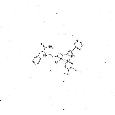 CC1(C)C(CCNC(Cc2ccccc2)C(N)=O)CC1c1cc(-c2cccnc2)nn1-c1ccc(Cl)c(Cl)c1